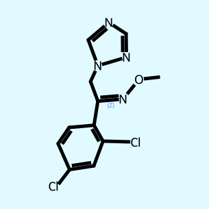 CO/N=C(\Cn1cncn1)c1ccc(Cl)cc1Cl